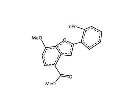 CCCc1ccccc1-c1cc2c(C(=O)OC)ccc(OC)c2o1